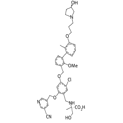 COc1c(COc2cc(OCc3cncc(C#N)c3)c(CN[C@](C)(CO)C(=O)O)cc2Cl)cccc1-c1cccc(OCCCN2CC[C@@H](O)C2)c1C